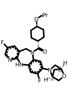 CC(C)O[C@H]1CC[C@H](C(=O)N2Cc3cc(F)cnc3Nc3cc(F)c(N4C[C@@H]5C[C@H]4CO5)cc32)CC1